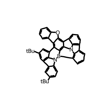 CC(C)(C)c1ccc2c(c1)c1cc(C(C)(C)C)cc3c1n2B1c2cccc4c5cccc6c7c8oc9ccccc9c8c-3c1c7n(c24)c56